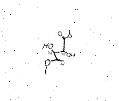 COC(=O)[C@@H](O)[C@H](O)C(=O)OC